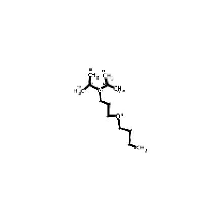 CCCCOCCCN(C(C)C)C(C)C